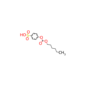 CCCCCCOC(=O)Oc1ccc(S(=O)(=O)O)cc1